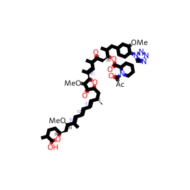 COC1CC(CC(C)[C@H](CC(=O)C(C)/C=C(\C)[C@H]2OC(C[C@H](C)/C=C/C=C/C=C(\C)[C@H](C[C@@H]3CCC(C)C(O)O3)OC)C(=O)C2OC)OC(=O)C2CCCCN2C(=O)C(C)=O)CCC1n1cnnn1